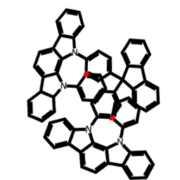 C1=CC2c3ccc4c5ccccc5n(-c5ccc(C6(c7ccc(-n8c9ccccc9c9ccc%10c%11ccccc%11n(-c%11ccccc%11)c%10c98)cc7)c7ccccc7-c7ccccc76)cc5)c4c3N(c3ccccc3)C2C=C1